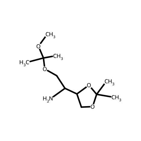 COC(C)(C)OCC(N)C1COC(C)(C)O1